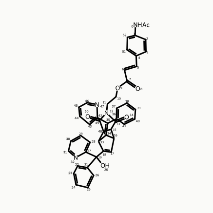 CC(=O)Nc1ccc(C=CC(=O)OCCN2C(=O)C3C4C=C(C(O)(c5ccccc5)c5ccccn5)C(C4=C(c4ccccc4)c4ccccn4)C3C2=O)cc1